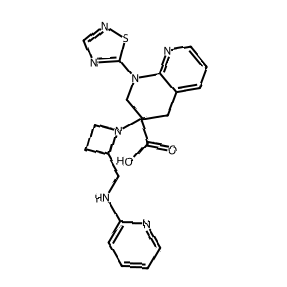 O=C(O)C1(N2CCC2CNc2ccccn2)Cc2cccnc2N(c2ncns2)C1